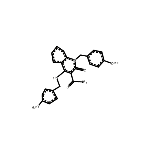 COc1ccc(CNc2c(C(N)=O)c(=O)n(Cc3ccc(OC)cc3)c3ccccc23)cc1